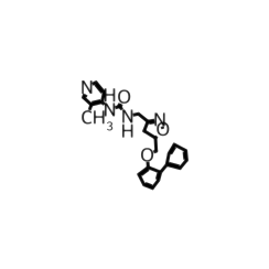 Cc1cnccc1NC(=O)NCC1=NOC(COc2ccccc2-c2ccccc2)C1